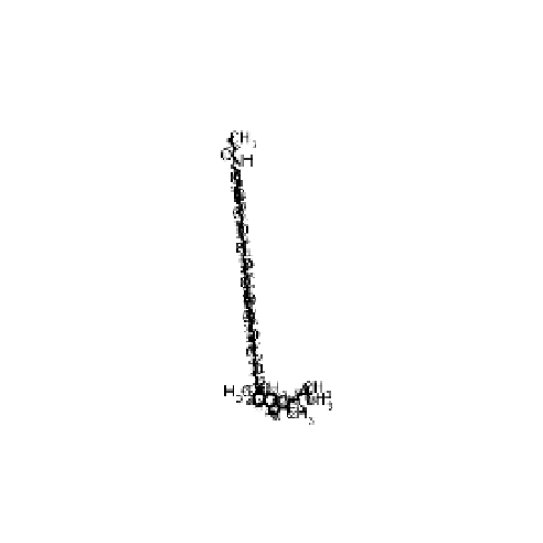 CSCC(=O)NCCOCCOCCOCCOCCOCCOCCOCCOCCOCCOCCOCCOCCCC1(C)C(C)=CCC2C1CCC1(C)C(C(C)CCCC(C)C)CCC21